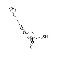 CCCCCCCCCOCOC1CCC[SiH](CCCS)N(OCC)CC1